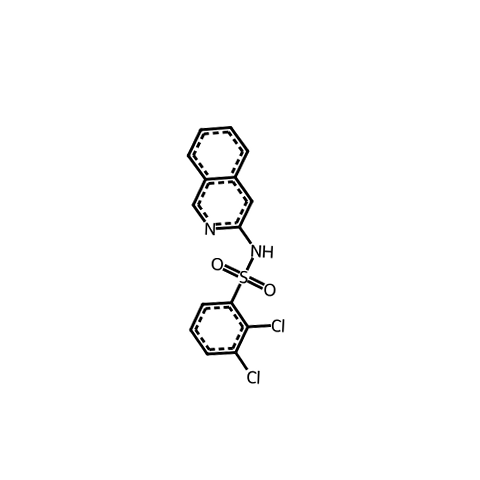 O=S(=O)(Nc1cc2ccccc2cn1)c1cccc(Cl)c1Cl